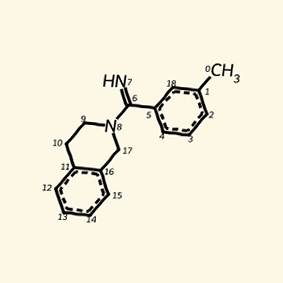 Cc1cccc(C(=N)N2CCc3ccccc3C2)c1